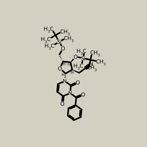 CC(C)(C)[Si](C)(C)OC[C@H]1O[C@@H](n2ccc(=O)n(C(=O)c3ccccc3)c2=O)[C@H](CC#N)[C@@H]1O[Si](C)(C)C(C)(C)C